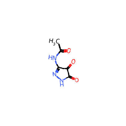 CC(=O)NC1=NNC(=O)C1=O